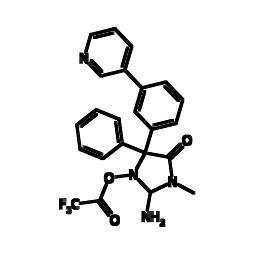 CN1C(=O)C(c2ccccc2)(c2cccc(-c3cccnc3)c2)N(OC(=O)C(F)(F)F)C1N